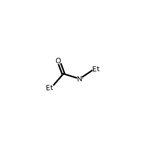 CC[N]C(=O)CC